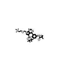 C=C(C)C(=O)Nc1cccc(-c2ncnc3c2c(B2OC(C)(C)C(C)(C)O2)cn3COCC[Si](C)(C)C)c1